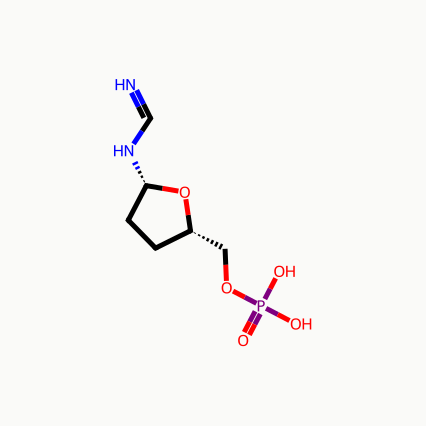 N=CN[C@H]1CC[C@@H](COP(=O)(O)O)O1